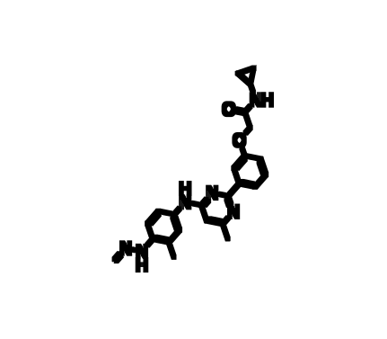 C=NNc1ccc(Nc2cc(C)nc(-c3cccc(OCC(=O)NC4CC4)c3)n2)cc1C